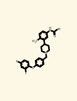 Cc1ccc(NC(=O)C(C)C)cc1C1CCN(Cc2ccc(Sc3ccc(F)cc3F)cc2)CC1